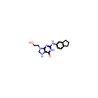 O=c1[nH]c(Nc2ccc3c(c2)CCC3)nc2c1NCN2CCO